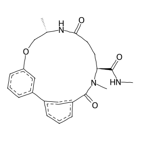 CNC(=O)[C@@H]1CCC(=O)N[C@@H](C)COc2cccc(c2)-c2cccc(c2)C(=O)N1C